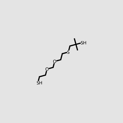 CC(C)(S)CSCCOCOCCS